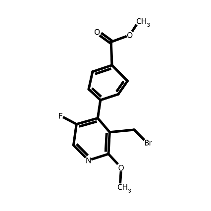 COC(=O)c1ccc(-c2c(F)cnc(OC)c2CBr)cc1